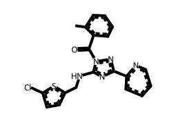 Cc1ccccc1C(=O)n1nc(-c2ccccn2)nc1NCc1ccc(Cl)s1